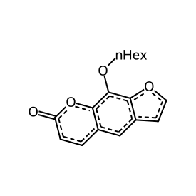 CCCCCCOc1c2occc2cc2ccc(=O)oc12